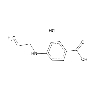 C=CCNc1ccc(C(=O)O)cc1.Cl